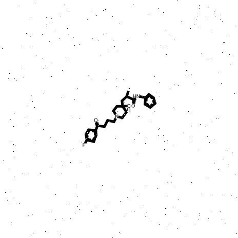 CC(CC1(O)CCN(CCCC(=O)c2ccc(F)cc2)CC1)C(=O)Nc1ccccc1